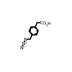 [N-]=[N+]=NCc1ccc(CC(=O)O)cc1